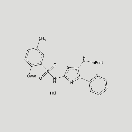 CCCCCNc1sc(NS(=O)(=O)c2cc(C)ccc2OC)nc1-c1ccccn1.Cl